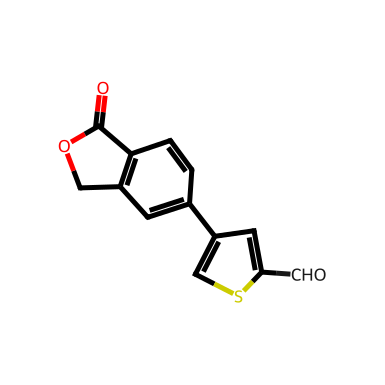 O=Cc1cc(-c2ccc3c(c2)COC3=O)cs1